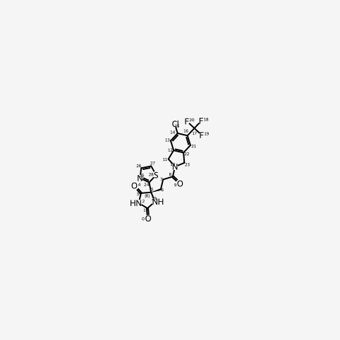 O=C1NC(=O)[C@](CCC(=O)N2Cc3cc(Cl)c(C(F)(F)F)cc3C2)(c2nccs2)N1